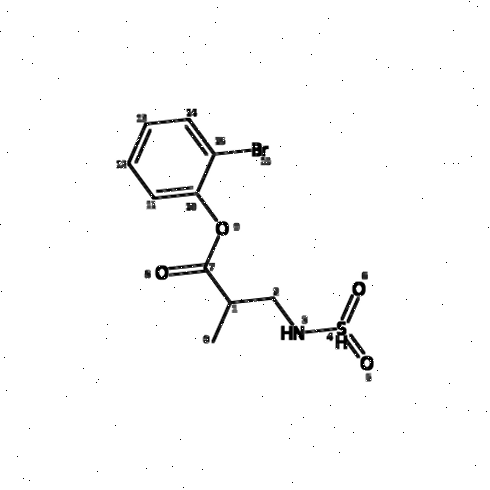 CC(CN[SH](=O)=O)C(=O)Oc1ccccc1Br